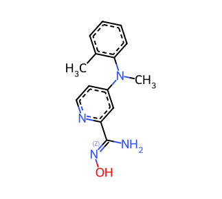 Cc1ccccc1N(C)c1ccnc(/C(N)=N/O)c1